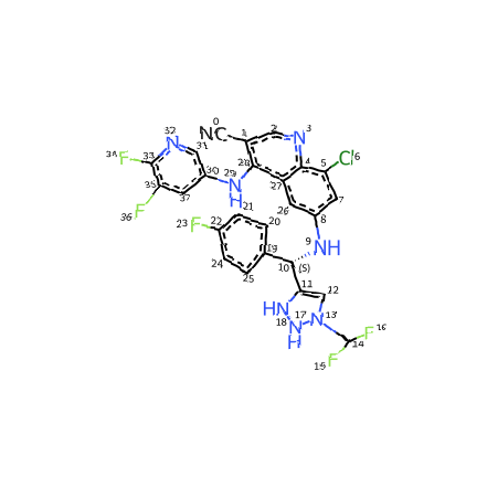 N#Cc1cnc2c(Cl)cc(N[C@H](C3=CN(C(F)F)NN3)c3ccc(F)cc3)cc2c1Nc1cnc(F)c(F)c1